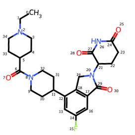 CCN1CCC(C(=O)N2CCC(c3cc(F)cc4c3CN(C3CCC(=O)NC3=O)C4=O)CC2)CC1